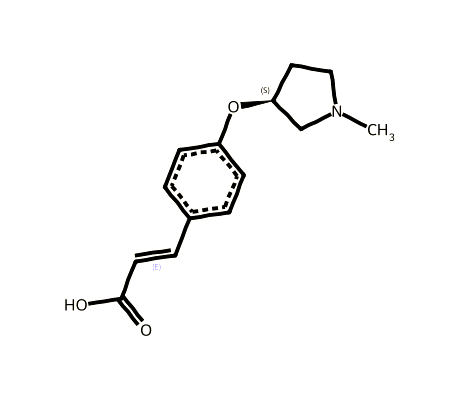 CN1CC[C@H](Oc2ccc(/C=C/C(=O)O)cc2)C1